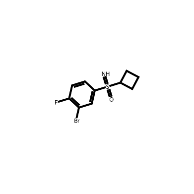 N=S(=O)(c1ccc(F)c(Br)c1)C1CCC1